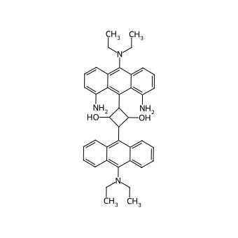 CCN(CC)c1c2ccccc2c(C2C(O)C(c3c4c(N)cccc4c(N(CC)CC)c4cccc(N)c34)C2O)c2ccccc12